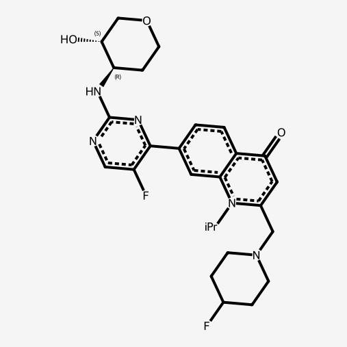 CC(C)n1c(CN2CCC(F)CC2)cc(=O)c2ccc(-c3nc(N[C@@H]4CCOC[C@H]4O)ncc3F)cc21